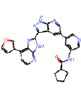 O=C(Nc1cncc(-c2cnc3[nH]nc(-c4nc5c(-c6ccoc6)ccnc5[nH]4)c3c2)c1)C1CCCC1